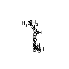 CN(C)c1ccc(-c2ccc3cc(OCC(O)COCCOCCOCCOCCNc4cccc5c4C(=O)N(C4CCC(=O)NC4=O)C5=O)ccc3n2)cc1